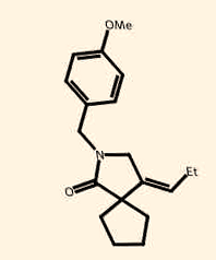 CC/C=C1\CN(Cc2ccc(OC)cc2)C(=O)C12CCCC2